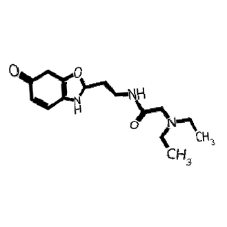 CCN(CC)CC(=O)NCCC1NC2=C(CC(=O)C=C2)O1